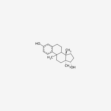 CC12CC[C@]3(C)[C@@H](O)CC[C@@]3(C)C1CCc1cc(O)ccc12